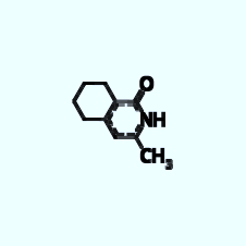 Cc1cc2c(c(=O)[nH]1)CCCC2